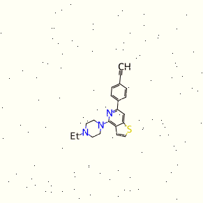 C#Cc1ccc(-c2cc3sccc3c(N3CCN(CC)CC3)n2)cc1